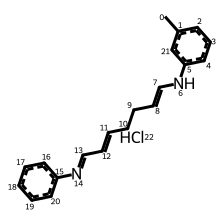 Cc1cccc(NC=CCCC=CC=Nc2ccccc2)c1.Cl